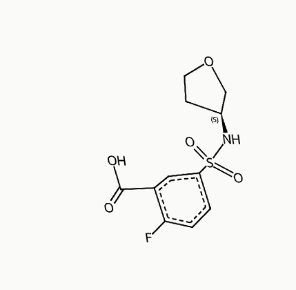 O=C(O)c1cc(S(=O)(=O)N[C@H]2CCOC2)ccc1F